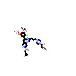 C=CC(=O)N1CCN(CCCc2cn3c(n2)c(-c2c(F)c(OC)cc(OC)c2F)cc2cnc(NCC4CC4)cc23)CC1